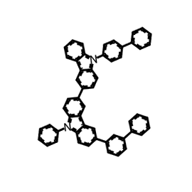 c1ccc(-c2ccc(-n3c4ccccc4c4cc(-c5ccc6c(c5)c5cc(-c7cccc(-c8ccccc8)c7)ccc5n6-c5ccccc5)ccc43)cc2)cc1